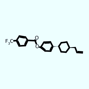 C=CC[C@H]1CC[C@H](c2ccc(OC(=O)c3ccc(C(F)(F)F)cc3)cc2)CC1